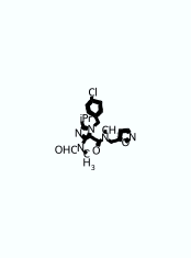 CC(C)c1nc(N(C)C=O)c(C(=O)N(C)Cc2ccno2)n1Cc1ccc(Cl)cc1